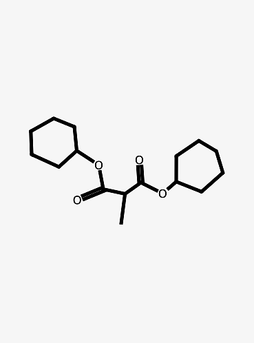 CC(C(=O)OC1CCCCC1)C(=O)OC1CCCCC1